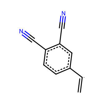 C=[C]c1ccc(C#N)c(C#N)c1